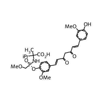 COCP(=O)(NC(C)(C(=O)O)C(C)C)Oc1ccc(/C=C/C(=O)CC(=O)/C=C/c2ccc(O)c(OC)c2)cc1OC